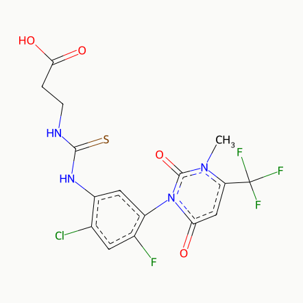 Cn1c(C(F)(F)F)cc(=O)n(-c2cc(NC(=S)NCCC(=O)O)c(Cl)cc2F)c1=O